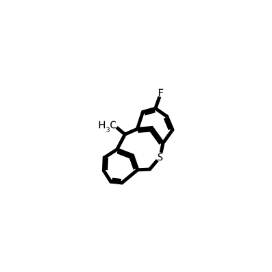 CC1C2=C=C(C=CC=C2)CSC2=C=C1C=C(F)C=C2